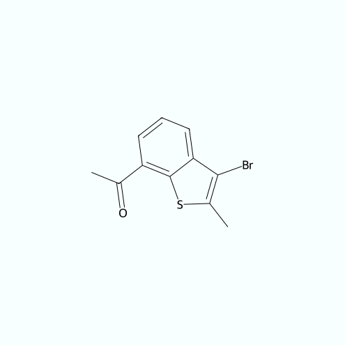 CC(=O)c1cccc2c(Br)c(C)sc12